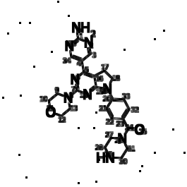 Nc1ncc(-c2nc(N3CCOCC3)nc3c2CCN3c2ccc(C(=O)N3CCNCC3)cc2)cn1